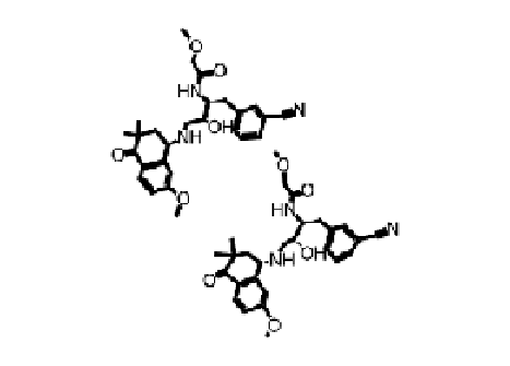 COCC(=O)N[C@@H](Cc1cccc(C#N)c1)[C@H](O)CN[C@@H]1CC(C)(C)C(=O)c2ccc(OC)cc21.COCC(=O)N[C@@H](Cc1cccc(C#N)c1)[C@H](O)CN[C@H]1CC(C)(C)C(=O)c2ccc(OC)cc21